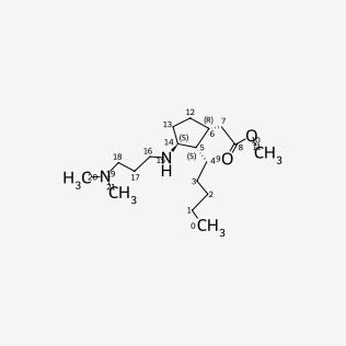 CCCCC[C@H]1[C@@H](CC(=O)OC)CC[C@@H]1NCCCN(C)C